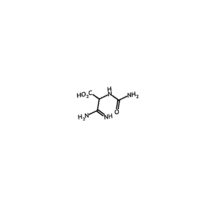 N=C(N)C(NC(N)=O)C(=O)O